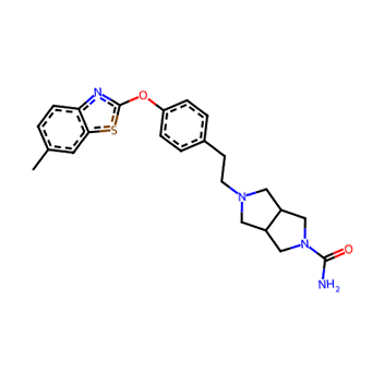 Cc1ccc2nc(Oc3ccc(CCN4CC5CN(C(N)=O)CC5C4)cc3)sc2c1